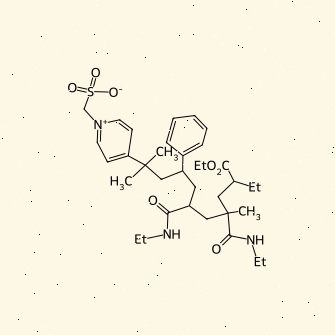 CCNC(=O)C(CC(CC(C)(C)c1cc[n+](CS(=O)(=O)[O-])cc1)c1ccccc1)CC(C)(CC(CC)C(=O)OCC)C(=O)NCC